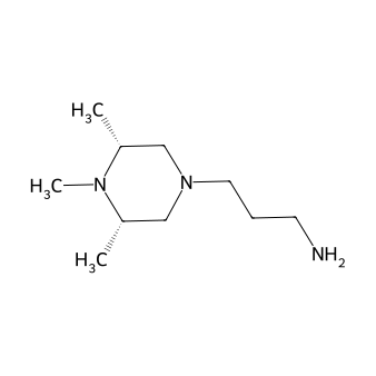 C[C@@H]1CN(CCCN)C[C@H](C)N1C